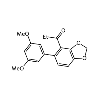 CCC(=O)c1c(-c2cc(OC)cc(OC)c2)ccc2c1OCO2